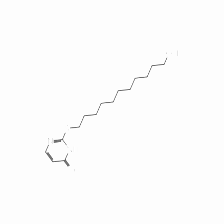 O=c1ccnc(SCCCCCCCCCCCO)[nH]1